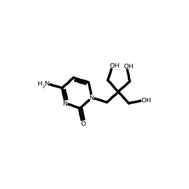 Nc1ccn(CC(CO)(CO)CO)c(=O)n1